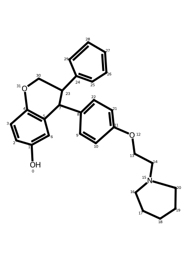 Oc1ccc2c(c1)C(c1ccc(OCCN3CCCCC3)cc1)C(c1ccccc1)CO2